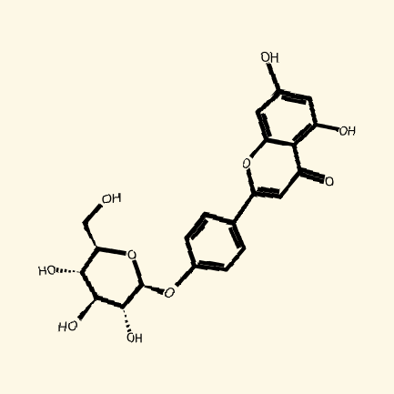 O=c1cc(-c2ccc(O[C@@H]3O[C@H](CO)[C@@H](O)[C@H](O)[C@H]3O)cc2)oc2cc(O)cc(O)c12